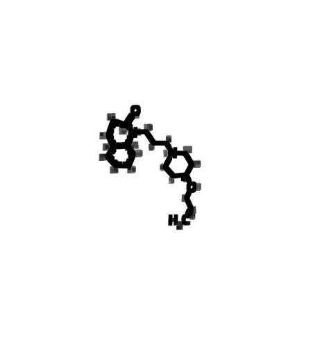 C=CCOC1CCN(CCCn2c(=O)ccc3ccccc32)CC1